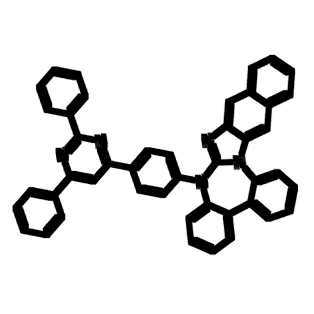 c1ccc(-c2cc(-c3ccc(N4c5ccccc5-c5ccccc5-n5c4nc4cc6ccccc6cc45)cc3)nc(-c3ccccc3)n2)cc1